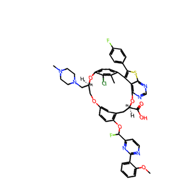 COc1ccccc1-c1nccc(C(F)Oc2ccc3cc2C[C@H](C(=O)O)Oc2ncnc4sc(-c5ccc(F)cc5)c(c24)-c2ccc(c(Cl)c2C)O[C@H](CN2CCN(C)CC2)CO3)n1